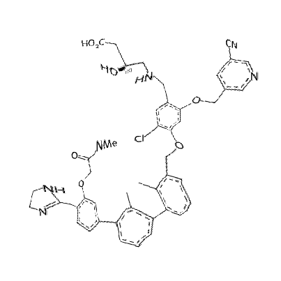 CNC(=O)COc1cc(-c2cccc(-c3cccc(COc4cc(OCc5cncc(C#N)c5)c(CNC[C@@H](O)CC(=O)O)cc4Cl)c3C)c2C)ccc1C1=NCCN1